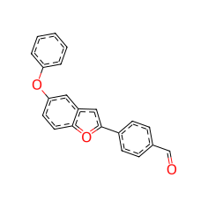 O=Cc1ccc(-c2cc3cc(Oc4ccccc4)ccc3o2)cc1